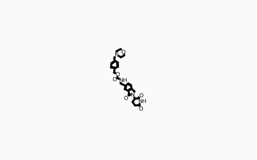 O=C1CCC(N2Cc3ccc(CNC(=O)OCc4ccc(CN5CCOCC5)cc4)cc3C2=O)C(=O)N1